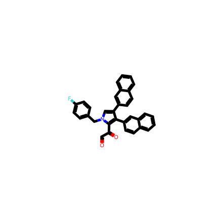 O=CC(=O)c1c(-c2ccc3ccccc3c2)c(-c2ccc3ccccc3c2)cn1Cc1ccc(F)cc1